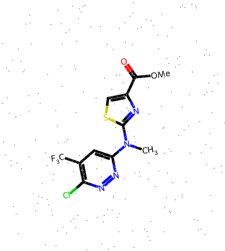 COC(=O)c1csc(N(C)c2cc(C(F)(F)F)c(Cl)nn2)n1